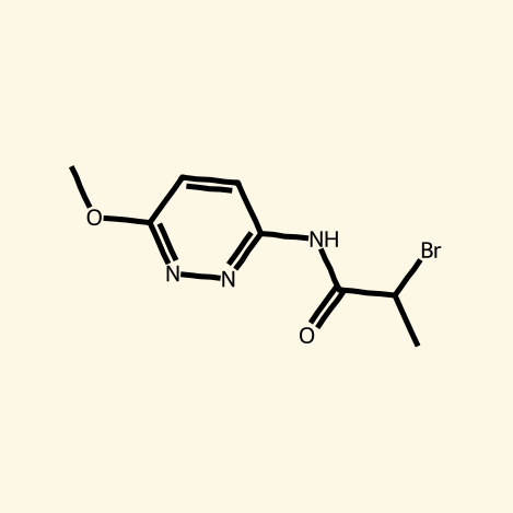 COc1ccc(NC(=O)C(C)Br)nn1